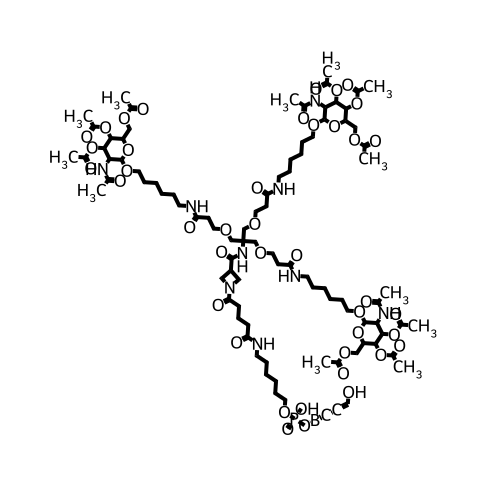 CC(=O)NC1C(OCCCCCCNC(=O)CCOCC(COCCC(=O)NCCCCCCOC2OC(COC(C)=O)C(OC(C)=O)C(OC(C)=O)C2NC(C)=O)(COCCC(=O)NCCCCCCOC2OC(COC(C)=O)C(OC(C)=O)C(OC(C)=O)C2NC(C)=O)NC(=O)C2CN(C(=O)CCCC(=O)NCCCCCCOP(=O)(O)OB=C=C=CO)C2)OC(COC(C)=O)C(OC(C)=O)C1OC(C)=O